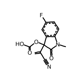 C=C(C#N)C1(OC(=O)O)C(=O)N(C)c2ccc(F)cc21